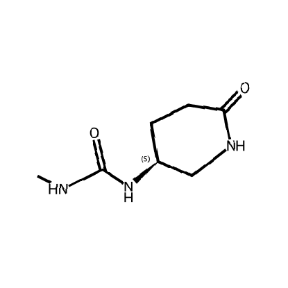 CNC(=O)N[C@H]1CCC(=O)NC1